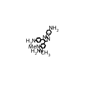 CNc1cc(-c2cnc(N3CCC(N)CC3)nc2-c2ccc(N)cc2)ccc1N(C)N